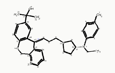 CCN(c1ccc(C)cc1)[C@@H]1CCN(CC/C=C2/c3cc(C(C)(C)O)ccc3OCc3ncccc32)C1